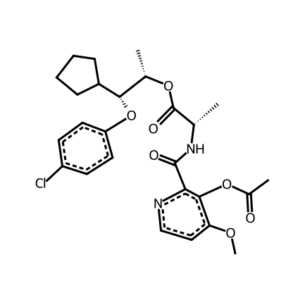 COc1ccnc(C(=O)N[C@@H](C)C(=O)O[C@@H](C)[C@H](Oc2ccc(Cl)cc2)C2CCCC2)c1OC(C)=O